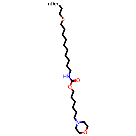 CCCCCCCCCCCCSCCCCCCCCCCNC(=O)OCCCCCCN1CCOCC1